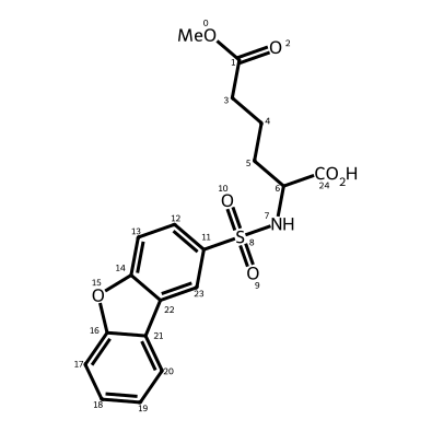 COC(=O)CCCC(NS(=O)(=O)c1ccc2oc3ccccc3c2c1)C(=O)O